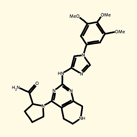 COc1cc(-n2cnc(Nc3nc4c(c(N5CCCC5C(N)=O)n3)CCNC4)c2)cc(OC)c1OC